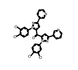 O=C(c1cc(-c2cccnc2)nn1-c1ccc(Cl)c(Cl)c1)c1cc(-c2cccnc2)nn1-c1ccc(Cl)c(Cl)c1